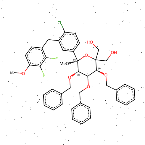 CCOc1ccc(Cc2cc([C@]3(OC)OC(CO)(CO)[C@@H](OCc4ccccc4)C(OCc4ccccc4)[C@H]3OCc3ccccc3)ccc2Cl)c(F)c1F